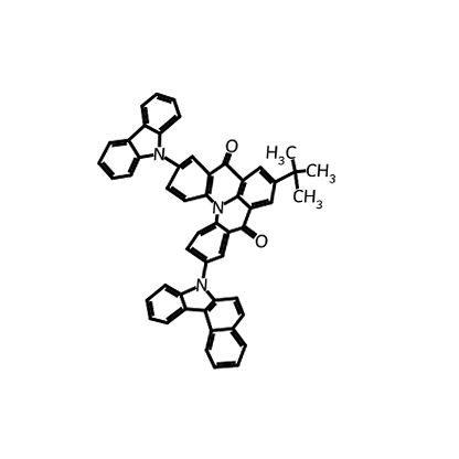 CC(C)(C)c1cc2c(=O)c3cc(-n4c5ccccc5c5ccccc54)ccc3n3c4ccc(-n5c6ccccc6c6c7ccccc7ccc65)cc4c(=O)c(c1)c23